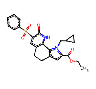 CCOC(=O)c1cc2c(n1CC1CC1)-c1[nH]c(=O)c(S(=O)(=O)c3ccccc3)cc1CC2